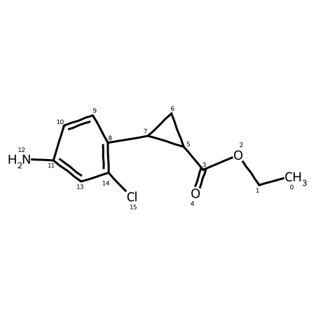 CCOC(=O)C1CC1c1ccc(N)cc1Cl